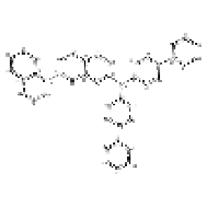 c1ccc(-c2ccc(N(c3ccc(-c4ccccc4)cc3)c3ccc4ccc(-c5cccc6ccccc56)cc4c3)cc2)cc1